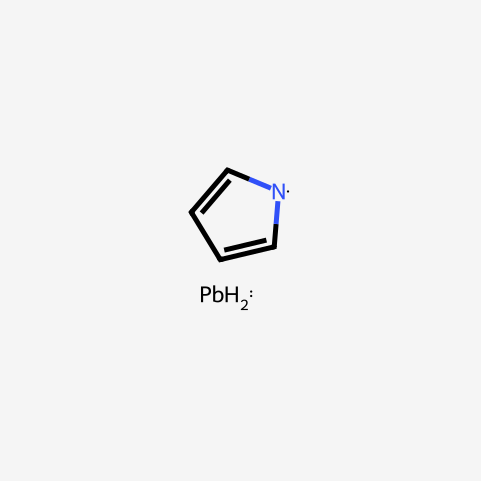 C1=C[N]C=C1.[PbH2]